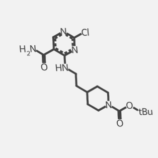 CC(C)(C)OC(=O)N1CCC(CCNc2nc(Cl)ncc2C(N)=O)CC1